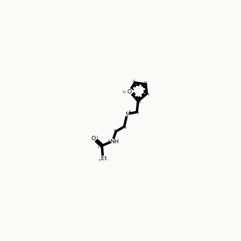 CCC(=O)NCCSCc1ccco1